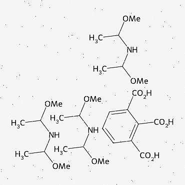 COC(C)NC(C)OC.COC(C)NC(C)OC.COC(C)NC(C)OC.O=C(O)c1cccc(C(=O)O)c1C(=O)O